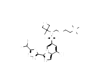 CC1(N(COCC[Si](C)(C)C)S(=O)(=O)c2cc(Cl)c3cnc(-c4nnc(C(F)F)s4)n3c2)COC1